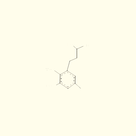 COc1c(CCC(C)O)cc(C)cc1C(=O)O